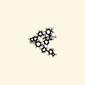 C=CC(=C)c1ccc(N(C2=CC=CC(C)(C(C)(C)C)C=C2)c2cccc(-c3ccc4c(c3)CC4)c2)cc1C(C)(CCCCC)N(C1=CC=CC(C)(C)C=C1)c1cccc(-c2ccc3c(c2)CC3)c1